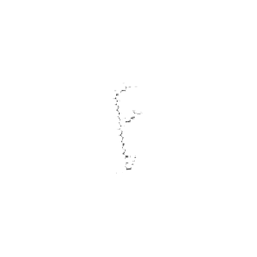 C=C=C=C=CC(CCCCC)CCOC(=O)CCCCCCCCCC(CCCCCCCCCC(=O)OCCC(C)CCCCC)OC(=O)CCCN(C)C(C)C